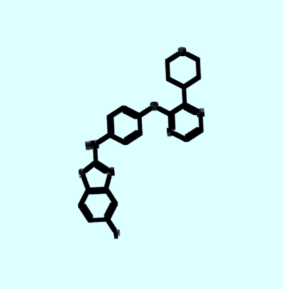 Fc1ccc2sc(Nc3ccc(Oc4nccnc4C4CCOCC4)cc3)nc2c1